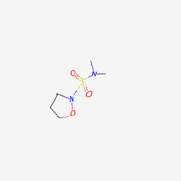 CN(C)S(=O)(=O)N1CCCO1